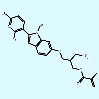 C=C(C)C(=O)OCC(COc1ccc2cc(-c3ccc(CC)nc3CC)n(C(C)C)c2c1)CC(F)(F)F